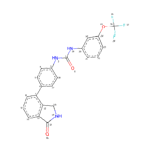 O=C(Nc1ccc(-c2cccc3c2CNC3=O)cc1)Nc1cccc(OC(F)(F)F)c1